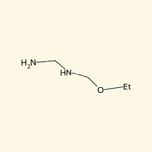 CCOCNCN